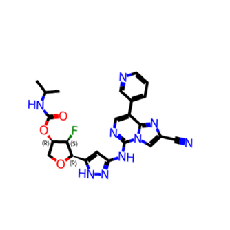 CC(C)NC(=O)O[C@@H]1CO[C@H](c2cc(Nc3ncc(-c4cccnc4)c4nc(C#N)cn34)n[nH]2)[C@@H]1F